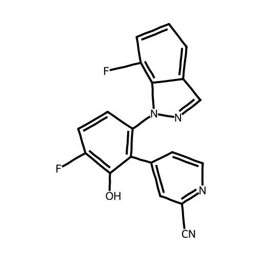 N#Cc1cc(-c2c(-n3ncc4cccc(F)c43)ccc(F)c2O)ccn1